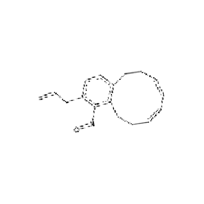 C=CCc1ccc2c(c1N=O)CC/C=C\C=C/CC2